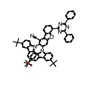 CC(C)(C)c1ccc2c(c1)c1cc(C(C)(C)C)ccc1n2-c1cc2oc3c(-c4nc(-c5ccccc5)nc(-c5ccccc5)n4)cccc3c2c(C#N)c1-n1c2ccc(C(C)(C)C)cc2c2cc(C(C)(C)C)ccc21